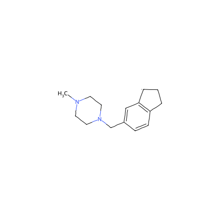 CN1CCN(Cc2ccc3c(c2)[CH]CC3)CC1